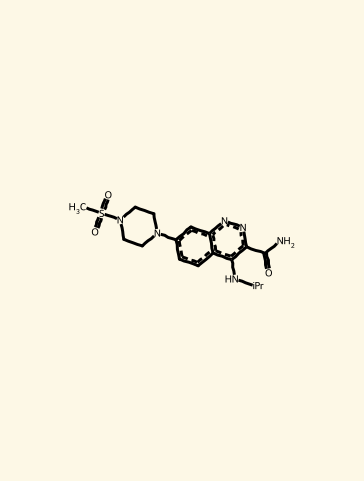 CC(C)Nc1c(C(N)=O)nnc2cc(N3CCN(S(C)(=O)=O)CC3)ccc12